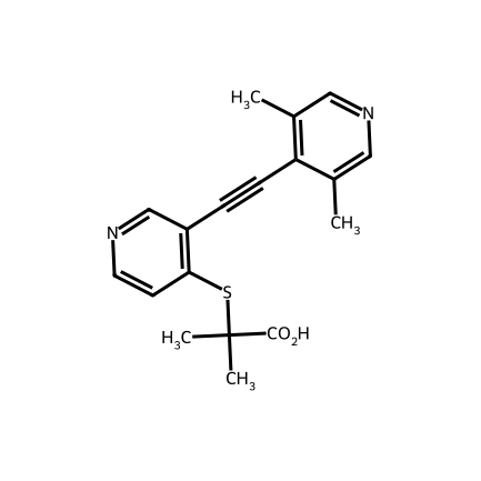 Cc1cncc(C)c1C#Cc1cnccc1SC(C)(C)C(=O)O